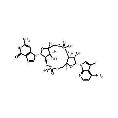 Nc1nc2c(ncn2[C@@H]2O[C@@H]3COP(=O)(O)O[C@H]4[C@@H](O)[C@H](n5cc(F)c6c(N)ccnc65)O[C@@H]4COP(=O)(O)O[C@@H]2[C@@H]3O)c(=O)[nH]1